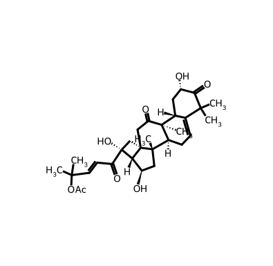 CC(=O)OC(C)(C)/C=C/C(=O)[C@@]1(O)C[C@]23CC(=O)[C@@]4(C)[C@@H]5C[C@H](O)C(=O)C(C)(C)C5=CC[C@H]4[C@]2(C)C[C@@H](O)[C@@H]31